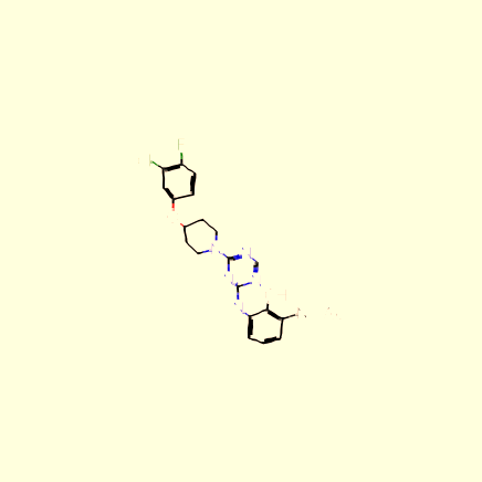 CC(=O)Nc1cccc(Nc2ncnc(N3CCC(Oc4ccc(F)c(Cl)c4)CC3)n2)c1C